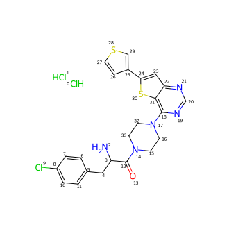 Cl.Cl.NC(Cc1ccc(Cl)cc1)C(=O)N1CCN(c2ncnc3cc(-c4ccsc4)sc23)CC1